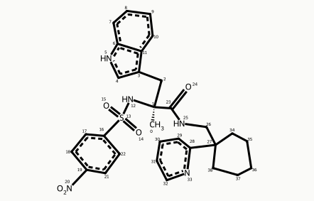 C[C@@](Cc1c[nH]c2ccccc12)(NS(=O)(=O)c1ccc([N+](=O)[O-])cc1)C(=O)NCC1(c2ccccn2)CCCCC1